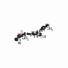 Cc1ncsc1-c1ccc(CNC(=O)[C@@H]2C[C@@H](O)CN2C(=O)[C@@H](c2cc(OCCCN3CC(c4[nH]c5nnc(-c6ccccc6O)cc5c4C)C3)no2)C(C)C)cc1